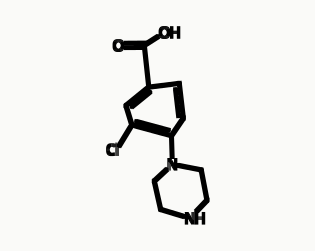 O=C(O)c1ccc(N2CCNCC2)c(Cl)c1